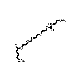 CC(=O)OCCCC(=O)OCCOCOCCOCCOC(=O)NCCOC(C)=O